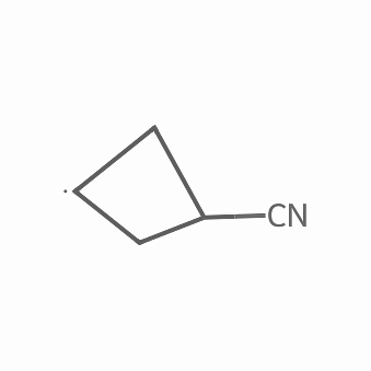 N#CC1C[CH]C1